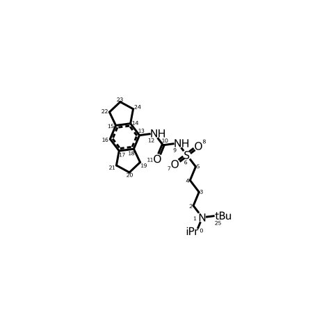 CC(C)N(CCCCS(=O)(=O)NC(=O)Nc1c2c(cc3c1CCC3)CCC2)C(C)(C)C